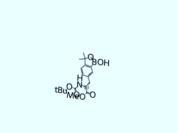 COC(=O)[C@H](Cc1ccc2c(c1)B(O)OC2(C)C)NC(=O)OC(C)(C)C